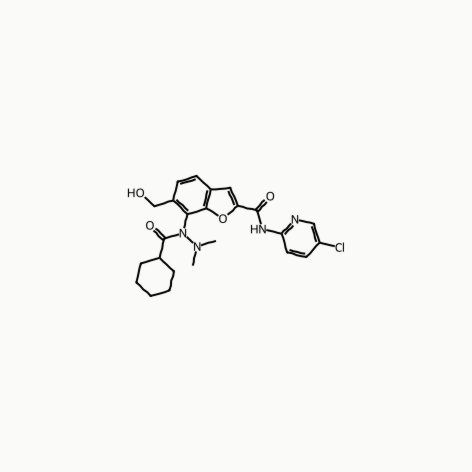 CN(C)N(C(=O)C1CCCCC1)c1c(CO)ccc2cc(C(=O)Nc3ccc(Cl)cn3)oc12